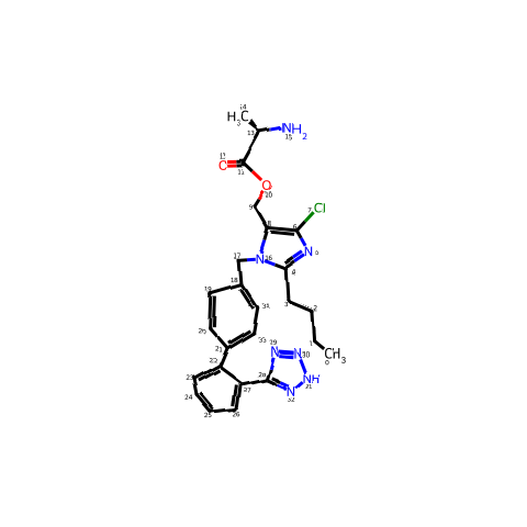 CCCCc1nc(Cl)c(COC(=O)[C@@H](C)N)n1Cc1ccc(-c2ccccc2-c2nn[nH]n2)cc1